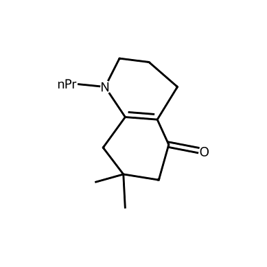 CCCN1CCCC2=C1CC(C)(C)CC2=O